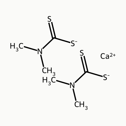 CN(C)C(=S)[S-].CN(C)C(=S)[S-].[Ca+2]